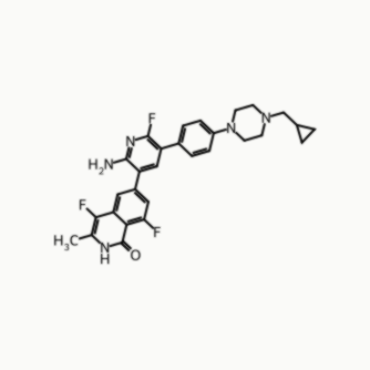 Cc1[nH]c(=O)c2c(F)cc(-c3cc(-c4ccc(N5CCN(CC6CC6)CC5)cc4)c(F)nc3N)cc2c1F